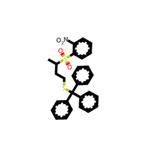 CC(CCSC(c1ccccc1)(c1ccccc1)c1ccccc1)S(=O)(=O)c1ccccc1[N+](=O)[O-]